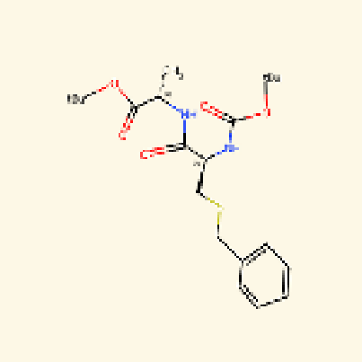 C[C@H](NC(=O)[C@H](CSCc1ccccc1)NC(=O)OC(C)(C)C)C(=O)OC(C)(C)C